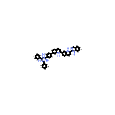 C1=CC2=CC=C(c3ccc4c(c3)NC(C3N=Cc5ccccc5N3)C=C4)NC2C=C1c1ccc(C2NC(c3ccccc3)NC(c3ccccc3)N2)cc1